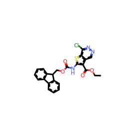 CCOC(=O)c1c(NC(=O)OCC2c3ccccc3-c3ccccc32)sc2c(Cl)nncc12